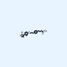 O=C(O)CCCc1ccc(CCCOc2ccc(-c3ccn[nH]3)cc2)cc1